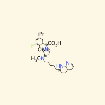 COc1c(F)cc(C(C)C)cc1[C@@H](C(=O)O)N1CC[C@@H](N(C)CCCCC[C@@H]2CCc3cccnc3N2)C1